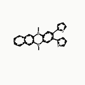 CB1c2cc(-c3cccs3)c(-c3cccs3)cc2B(C)c2cc3ccccc3cc21